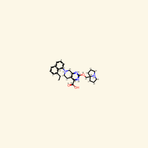 CCc1cccc2cccc(N3CCc4c(nc(OCC56CCCN5CCC6)nc4C(=O)O)C3)c12